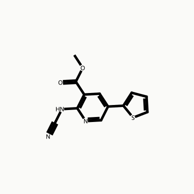 COC(=O)c1cc(-c2cccs2)cnc1NC#N